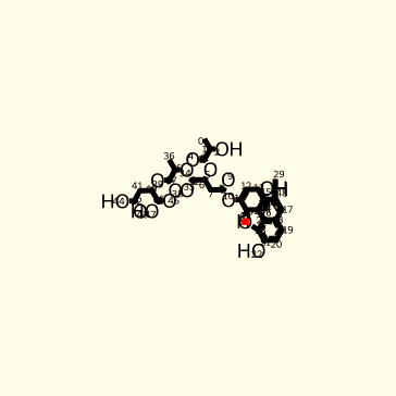 CC(O)C(=O)OC(CC(=O)OC1=CC[C@@]2(O)[C@H]3Cc4ccc(O)c5c4[C@@]2(CCN3C)[C@H]1O5)C(=O)OC(C)C(=O)OC(CC(=O)O)C(=O)O